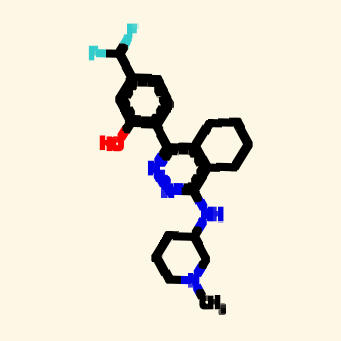 CN1CCCC(Nc2nnc(-c3ccc(C(F)F)cc3O)c3c2CCCC3)C1